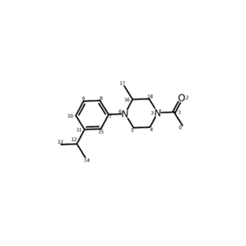 CC(=O)N1CCN(c2cccc(C(C)C)c2)C(C)C1